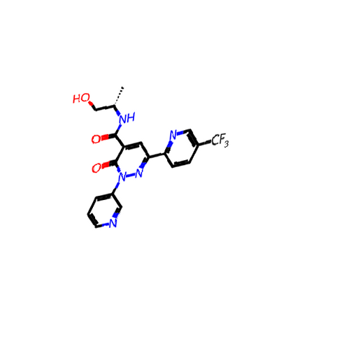 C[C@@H](CO)NC(=O)c1cc(-c2ccc(C(F)(F)F)cn2)nn(-c2cccnc2)c1=O